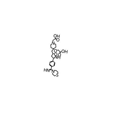 N=C(c1ccc(C2CC(CC3(OCC(=O)O)CCN(CC(=O)O)CC3)ON2)cc1)N1CCSCC1